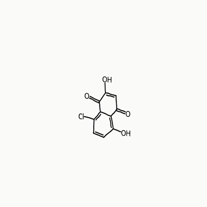 O=C1C=C(O)C(=O)c2c(Cl)ccc(O)c21